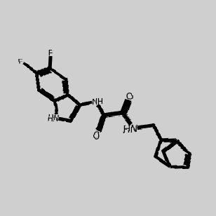 O=C(NCC1CC2C=CC1C2)C(=O)Nc1c[nH]c2cc(F)c(F)cc12